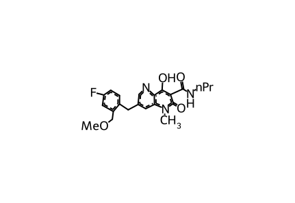 CCCNC(=O)c1c(O)c2ncc(Cc3ccc(F)cc3COC)cc2n(C)c1=O